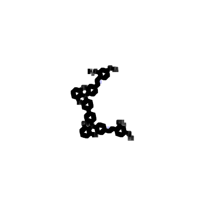 CCOc1ccc(/C=C/c2ccc(N(c3ccc(-c4ccc(N(c5ccc(/C=C/c6ccc(OCC)cc6C)cc5)c5c(C)cccc5CC)cc4)cc3)c3c(C)cccc3CC)cc2)c(C)c1